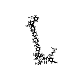 C#Cc1ccc(CNC(=O)[C@@H]2C[C@@H](O)CN2C(=O)[C@@H](NC(=O)[C@H]2CCC3(CC2)C[C@H](N2CCC(c4cnc(N5CCN(c6cc(-c7ccccc7O)nnc6NC)CC5)nc4)CC2)C3)C(C)(C)C)c(OCCCN(C)C)c1